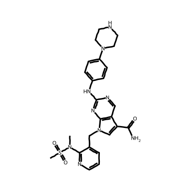 CN(c1ncccc1Cn1cc(C(N)=O)c2cnc(Nc3ccc(N4CCNCC4)cc3)nc21)S(C)(=O)=O